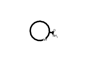 NC(=O)C1CCCCCCCCCCCCCCCNCC1